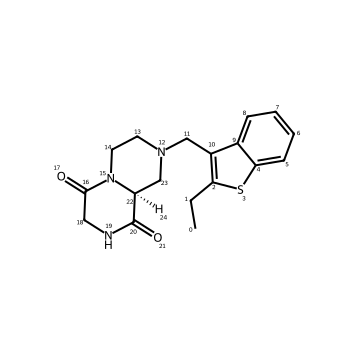 CCc1sc2ccccc2c1CN1CCN2C(=O)CNC(=O)[C@@H]2C1